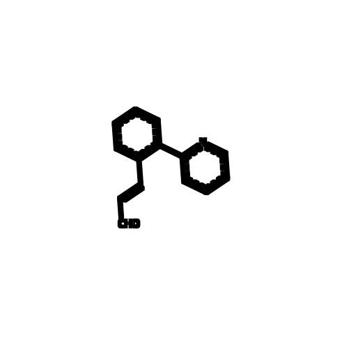 O=CC=Cc1ccccc1-c1ccccn1